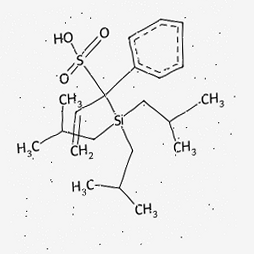 C=CC(c1ccccc1)([Si](CC(C)C)(CC(C)C)CC(C)C)S(=O)(=O)O